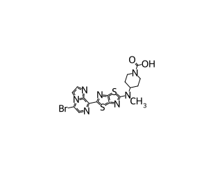 CN(c1nc2sc(-c3ncc(Br)n4ccnc34)nc2s1)C1CCN(C(=O)O)CC1